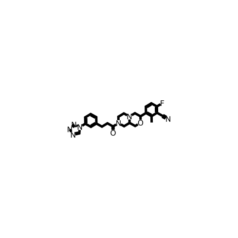 Cc1c(C2CN3CCN(C(=O)CCc4cccc(-n5cnnn5)c4)CC3CO2)ccc(F)c1C#N